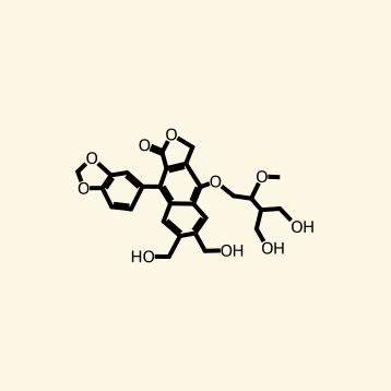 COC(COc1c2c(c(-c3ccc4c(c3)OCO4)c3cc(CO)c(CO)cc13)C(=O)OC2)C(CO)CO